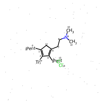 CCCC(C)C1=[C]([Ti+2])C(C(C)CCC)=C(CCN(C)C)C1.[Cl-].[Cl-]